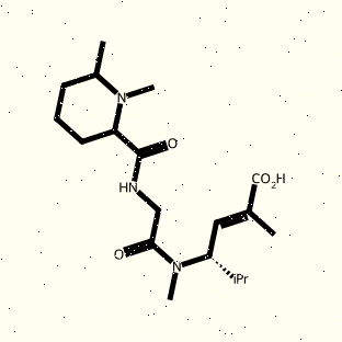 C/C(=C\[C@H](C(C)C)N(C)C(=O)CNC(=O)C1CCCC(C)N1C)C(=O)O